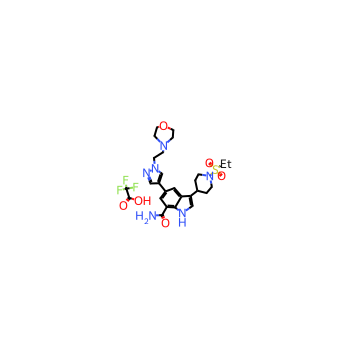 CCS(=O)(=O)N1CCC(c2c[nH]c3c(C(N)=O)cc(-c4cnn(CCN5CCOCC5)c4)cc23)CC1.O=C(O)C(F)(F)F